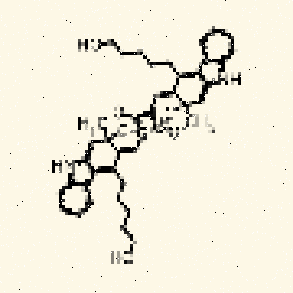 CC1(C)C=c2[nH]c3ccccc3c2=C(CCCCCO)C1=Cc1c([O-])[c+](C=C2C(CCCCCO)=c3c([nH]c4ccccc34)=CC2(C)C)[c+]1[O-]